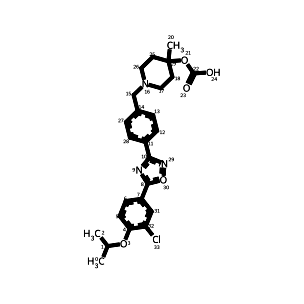 CC(C)Oc1ccc(-c2nc(-c3ccc(CN4CCC(C)(OC(=O)O)CC4)cc3)no2)cc1Cl